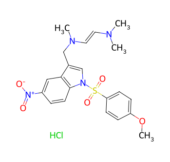 COc1ccc(S(=O)(=O)n2cc(CN(C)/C=C/N(C)C)c3cc([N+](=O)[O-])ccc32)cc1.Cl